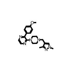 COc1ccc(-c2nccnc2N2CCN(Cc3cn(C)nc3C)CC2)cc1